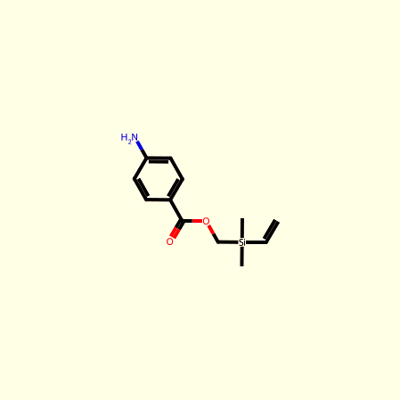 C=C[Si](C)(C)COC(=O)c1ccc(N)cc1